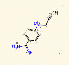 C#CCNc1ccc(C(=N)N)cc1